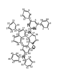 c1ccc(-c2cc(-c3ccccc3)nc(-n3c4cc(-c5ccccc5)c5ccccc5c4c4c5c(ccc43)oc3cc(N(c4ccccc4)c4ccccc4)ccc35)n2)cc1